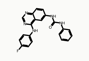 O=C(Nc1ccccc1)Nc1ccc2ncnc(Nc3ccc(F)cc3)c2c1